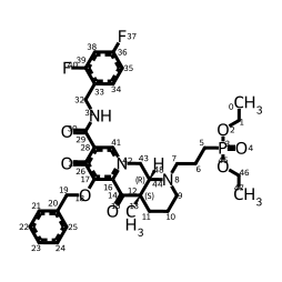 CCOP(=O)(CCCN1CCC[C@]2(C)C(=O)c3c(OCc4ccccc4)c(=O)c(C(=O)NCc4ccc(F)cc4F)cn3C[C@H]12)OCC